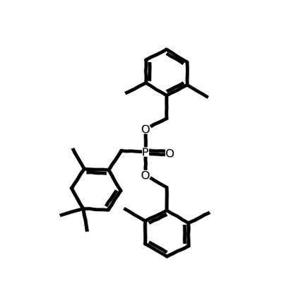 CC1=C(CP(=O)(OCc2c(C)cccc2C)OCc2c(C)cccc2C)C=CC(C)(C)C1